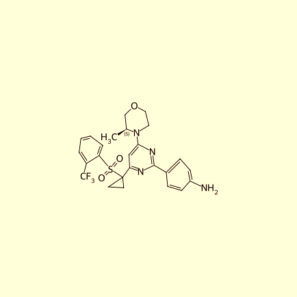 C[C@H]1COCCN1c1cc(C2(S(=O)(=O)c3ccccc3C(F)(F)F)CC2)nc(-c2ccc(N)cc2)n1